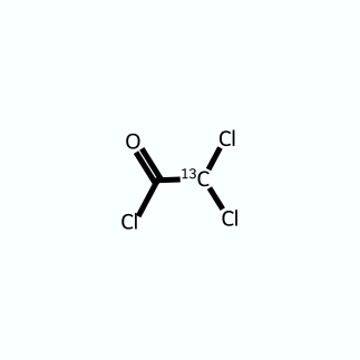 O=C(Cl)[13CH](Cl)Cl